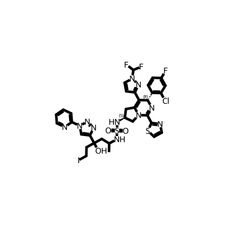 CC(CC(O)(CCI)c1cn(-c2ccccn2)nn1)NS(=O)(=O)N[C@H]1CC2=C(c3ccn(C(F)F)n3)[C@H](c3ccc(F)cc3Cl)N=C(c3nccs3)N2C1